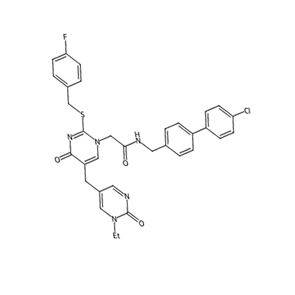 CCn1cc(Cc2cn(CC(=O)NCc3ccc(-c4ccc(Cl)cc4)cc3)c(SCc3ccc(F)cc3)nc2=O)cnc1=O